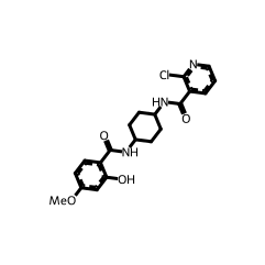 COc1ccc(C(=O)NC2CCC(NC(=O)c3cccnc3Cl)CC2)c(O)c1